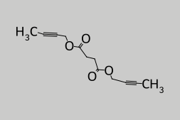 CC#CCOC(=O)CCC(=O)OCC#CC